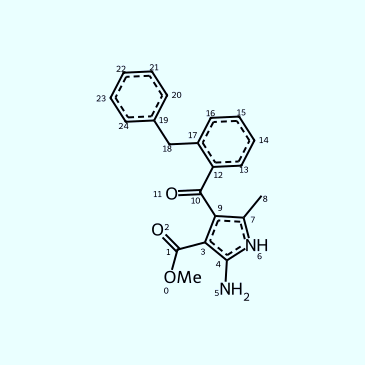 COC(=O)c1c(N)[nH]c(C)c1C(=O)c1ccccc1Cc1ccccc1